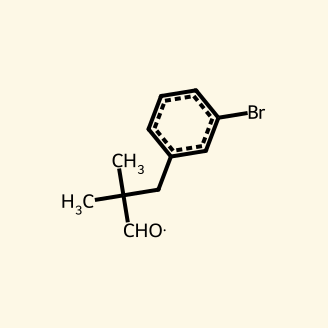 CC(C)([C]=O)Cc1cccc(Br)c1